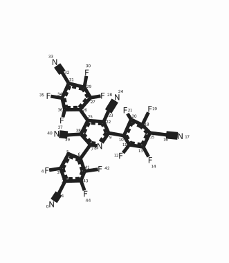 N#Cc1c(F)cc(-c2nc(-c3c(F)c(F)c(C#N)c(F)c3F)c(C#N)c(-c3c(F)c(F)c(C#N)c(F)c3F)c2C#N)c(F)c1F